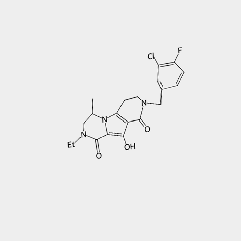 CCN1CC(C)n2c3c(c(O)c2C1=O)C(=O)N(Cc1ccc(F)c(Cl)c1)CC3